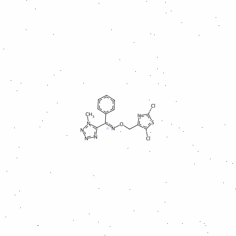 Cn1nnnc1/C(=N/OCc1nc(Cl)sc1Cl)c1ccccc1